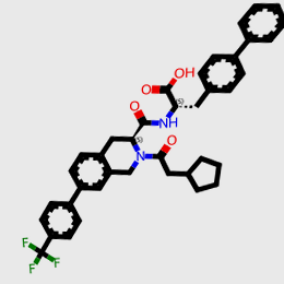 O=C(O)[C@H](Cc1ccc(-c2ccccc2)cc1)NC(=O)[C@@H]1Cc2ccc(-c3ccc(C(F)(F)F)cc3)cc2CN1C(=O)CC1CCCC1